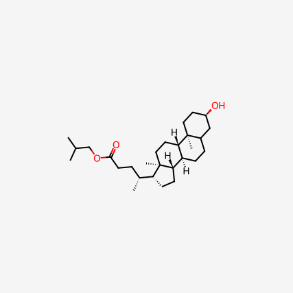 CC(C)COC(=O)CC[C@@H](C)[C@H]1CC[C@H]2[C@@H]3CCC4C[C@H](O)CC[C@]4(C)[C@H]3CC[C@]12C